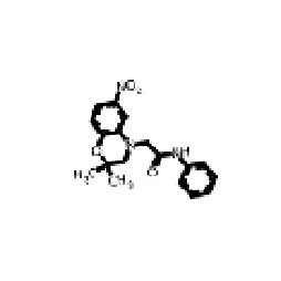 CC1(C)CN(CC(=O)Nc2ccccc2)c2cc([N+](=O)[O-])ccc2O1